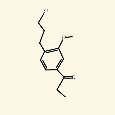 CCC(=O)c1ccc(CCCCl)c(OC)c1